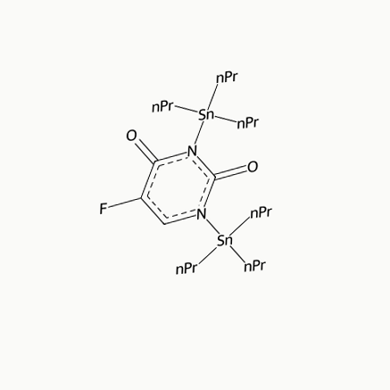 CC[CH2][Sn]([CH2]CC)([CH2]CC)[n]1cc(F)c(=O)[n]([Sn]([CH2]CC)([CH2]CC)[CH2]CC)c1=O